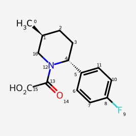 C[C@H]1CC[C@H](c2ccc(F)cc2)N(C(=O)C(=O)O)C1